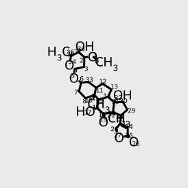 COC1CC(OC2CCC3(C)C(CCC4C3C(O)C(=O)C3(C)C(C5=CC(=O)OC5)CCC43O)C2)OC(C)C1O